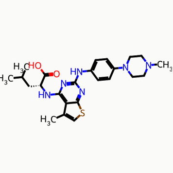 Cc1csc2nc(Nc3ccc(N4CCN(C)CC4)cc3)nc(N[C@H](CC(C)C)C(=O)O)c12